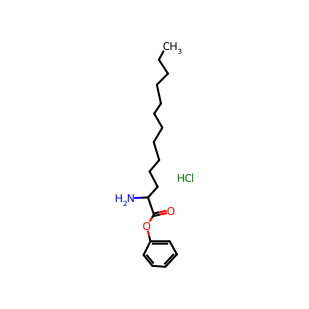 CCCCCCCCCCCC(N)C(=O)Oc1ccccc1.Cl